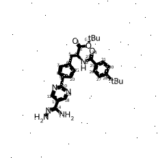 CC(C)(C)OC(=O)C(Cc1ccc(-c2ncc(/C(N)=N/N)cn2)cc1)NC(=O)c1ccc(C(C)(C)C)cc1